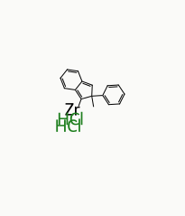 CC1(c2ccccc2)C=c2ccccc2=[C]1[Zr].Cl.Cl